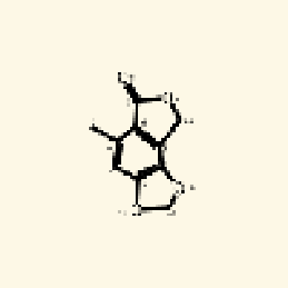 Cc1cc2c(c3c1C(=O)OC3)OCO2